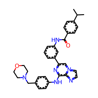 CC(C)c1ccc(C(=O)Nc2cccc(-c3cn4ccnc4c(Nc4ccc(CN5CCOCC5)cc4)n3)c2)cc1